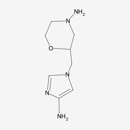 Nc1cn(CC2CN(N)CCO2)cn1